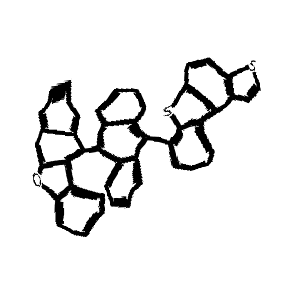 c1ccc2c(-c3c4ccccc4c(-c4cccc5c4sc4ccc6sccc6c45)c4ccccc34)c3c(cc2c1)oc1ccccc13